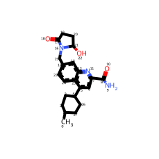 CC1CCC(c2cc(C(N)=O)nc3cc(CN4C(=O)CCC4O)ccc23)CC1